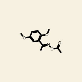 COc1ccc(OC)c(C(C)=NOC(C)=O)c1